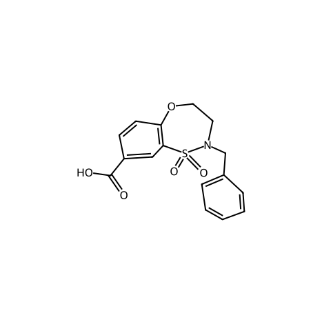 O=C(O)c1ccc2c(c1)S(=O)(=O)N(Cc1ccccc1)CCO2